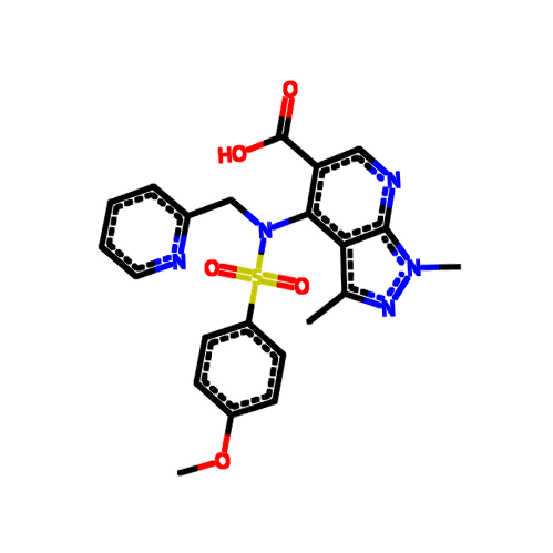 COc1ccc(S(=O)(=O)N(Cc2ccccn2)c2c(C(=O)O)cnc3c2c(C)nn3C)cc1